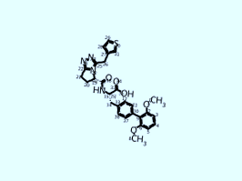 COc1cccc(OC)c1-c1ccc(C[C@H](NC(=O)[C@@H]2CCc3nnc(Cc4ccsc4)n32)C(=O)O)cc1